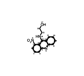 O=[N+]([O-])c1cccc2nc3ccccc3c(NCCO)c12